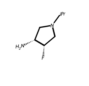 CC(C)N1C[C@@H](N)[C@@H](F)C1